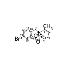 CC1=CC=CS(=O)(=O)N1Cc1ccc(Br)cc1F